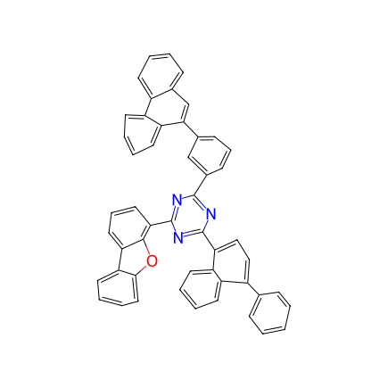 c1ccc(-c2ccc(-c3nc(-c4cccc(-c5cc6ccccc6c6ccccc56)c4)nc(-c4cccc5c4oc4ccccc45)n3)c3ccccc23)cc1